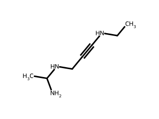 CCNC#CCNC(C)N